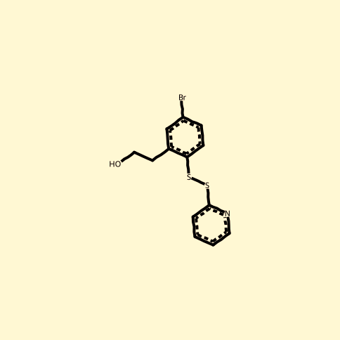 OCCc1cc(Br)ccc1SSc1ccccn1